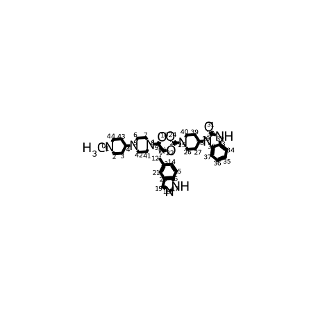 CN1CCC(N2CCN(C(=O)[C@@H](Cc3ccc4[nH]ncc4c3)OC(=O)N3CCC(n4c(=O)[nH]c5ccccc54)CC3)CC2)CC1